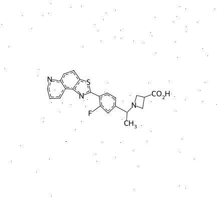 CC(c1ccc(-c2nc3c(ccc4ncccc43)s2)c(F)c1)N1CC(C(=O)O)C1